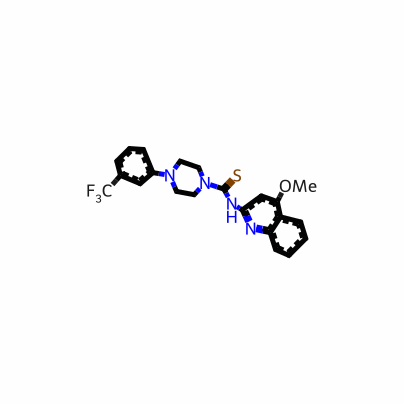 COc1cc(NC(=S)N2CCN(c3cccc(C(F)(F)F)c3)CC2)nc2ccccc12